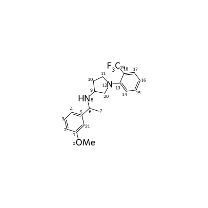 COc1cccc(C(C)NC2CCN(c3ccccc3C(F)(F)F)C2)c1